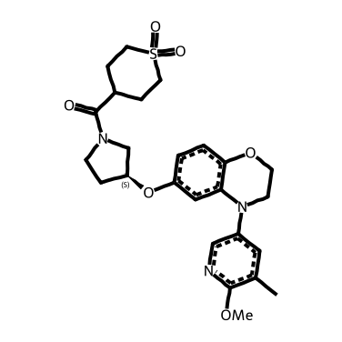 COc1ncc(N2CCOc3ccc(O[C@H]4CCN(C(=O)C5CCS(=O)(=O)CC5)C4)cc32)cc1C